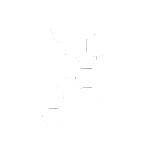 CCOC(=O)c1c(OCC(F)F)c2c(=O)n(CC(=O)c3ccccc3)c(CC)cc2n1C